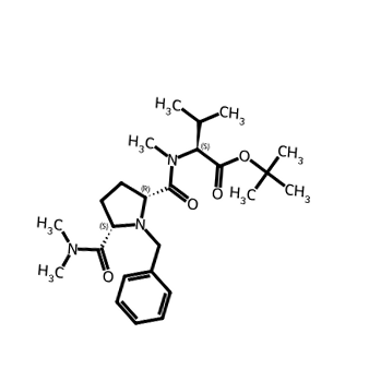 CC(C)[C@@H](C(=O)OC(C)(C)C)N(C)C(=O)[C@H]1CC[C@@H](C(=O)N(C)C)N1Cc1ccccc1